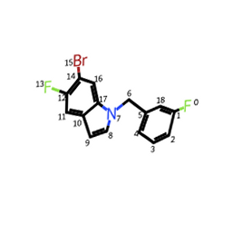 Fc1cccc(Cn2ccc3cc(F)c(Br)cc32)c1